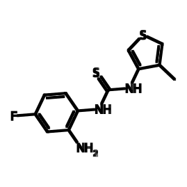 Cc1cscc1NC(=S)Nc1ccc(F)cc1N